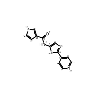 O=C(Nc1cnc(-c2ccncc2)s1)c1ccsc1